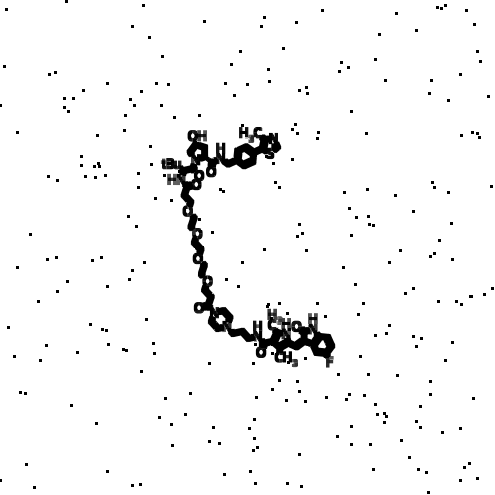 Cc1ncsc1-c1ccc(CNC(=O)[C@@H]2C[C@@H](O)CN2C(=O)[C@@H](NC(=O)CCOCCOCCOCCOCCC(=O)N2CCN(CCCNC(=O)c3c(C)[nH]c(/C=C4\C(=O)Nc5ccc(F)cc54)c3C)CC2)C(C)(C)C)cc1